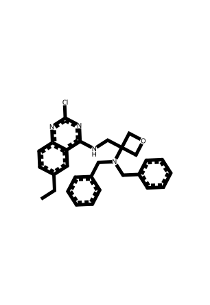 CCc1ccc2nc(Cl)nc(NCC3(N(Cc4ccccc4)Cc4ccccc4)COC3)c2c1